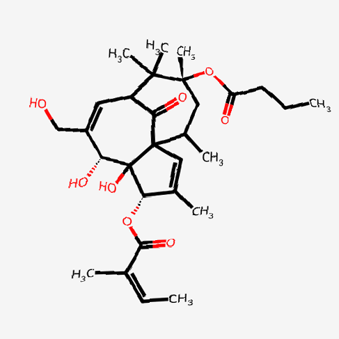 C/C=C(/C)C(=O)O[C@H]1C(C)=CC23C(=O)C(C=C(CO)[C@@H](O)C12O)C(C)(C)[C@](C)(OC(=O)CCC)CC3C